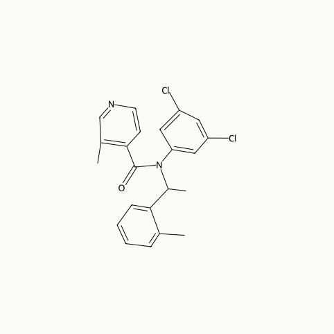 Cc1cnccc1C(=O)N(c1cc(Cl)cc(Cl)c1)C(C)c1ccccc1C